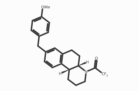 COc1ccc(Cc2ccc3c(c2)CC[C@H]2[C@@H]3CCCN2C(=O)C(F)(F)F)cc1